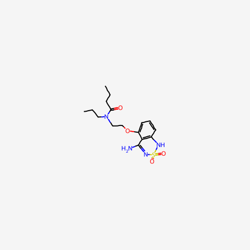 CCCC(=O)N(CCC)CCOc1cccc2c1C(N)=NS(=O)(=O)N2